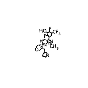 Cn1nc(-c2cc(C(F)(F)F)c(F)c(O)c2F)c2cnc(N3CCOCC3Cc3cccnc3)nc21